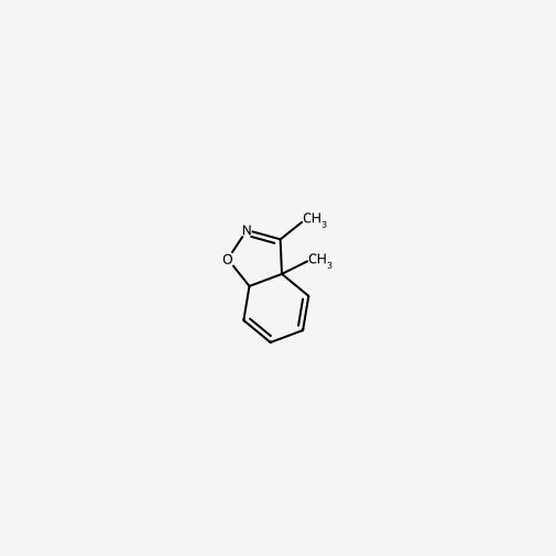 CC1=NOC2C=CC=CC12C